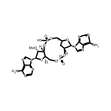 CC[C@@]12CO[PH](=O)O[C@@H]3C[C@@H](COP(=O)(S)O[C@H]1[C@@H](OC)[C@H](n1cnc4c(N)ncnc41)O2)O[C@H]3n1cnc2c(N)ncnc21